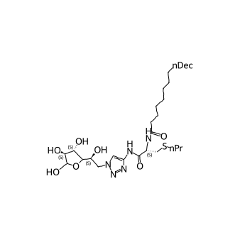 [CH2][CH]CSC[C@@H](NC(=O)CCCCCCCCCCCCCCCCC)C(=O)Nc1cn(C[C@H](O)C2OC(O)[C@@H](O)[C@@H]2O)nn1